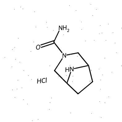 Cl.NC(=O)N1CC2CCC(C1)N2